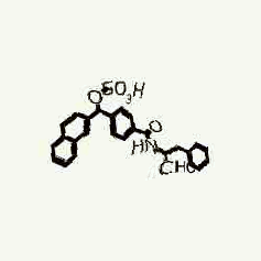 O=C[C@H](Cc1ccccc1)NC(=O)c1ccc(C(OS(=O)(=O)O)c2ccc3ccccc3c2)cc1